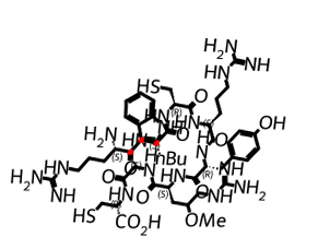 CCCC[C@H](NC(=O)[C@@H](N)CCCNC(=N)N)C(=O)N[C@@H](CS)C(=O)N[C@@H](CCCNC(=N)N)C(=O)N[C@H](Cc1ccc(O)cc1)C(=O)N[C@@H](CC(CNC(=N)N)OC)C(=O)N[C@@H](Cc1c[nH]c2ccccc12)C(=O)N[C@@H](CS)C(=O)O